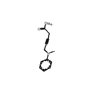 COC(=O)CC#CCN(C)c1ccccc1